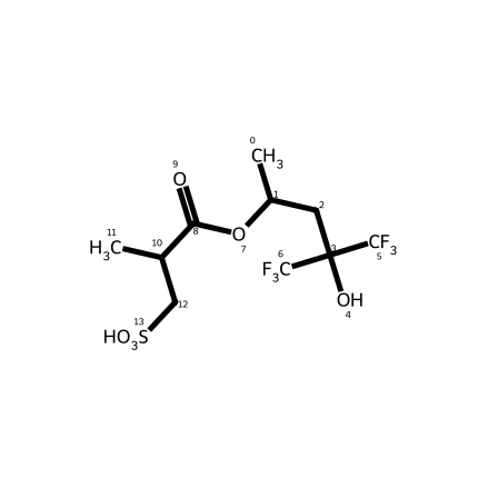 CC(CC(O)(C(F)(F)F)C(F)(F)F)OC(=O)C(C)CS(=O)(=O)O